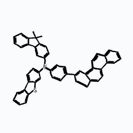 CC1(C)c2ccccc2-c2cc(N(c3ccc(-c4ccc5ccc6c7ccccc7ccc6c5c4)cc3)c3ccc4c(c3)sc3ccccc34)ccc21